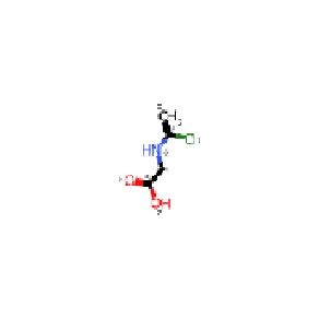 C=C(Cl)NCC(=O)O